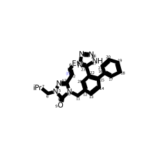 CC/C=C/c1nn(CC(C)C)c(=O)n1Cc1ccc(-c2ccccc2)c(-c2nnn[nH]2)c1